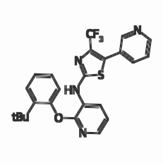 CC(C)(C)c1ccccc1Oc1ncccc1Nc1nc(C(F)(F)F)c(-c2cccnc2)s1